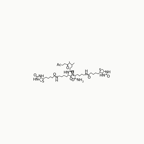 CC(=O)CCC(=O)C(C)C(C)CCC(=O)NC(CCCCNC(=O)CCCCC1SCC2NC(=O)NC21)C(=O)NC(CCCCNC(=O)CCCCC1SCC2NC(=O)NC21)C(N)=O